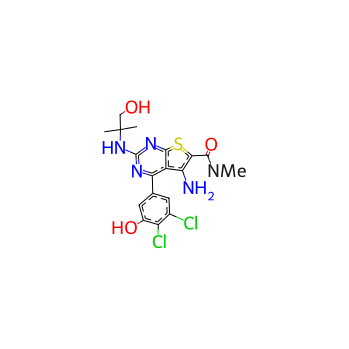 CNC(=O)c1sc2nc(NC(C)(C)CO)nc(-c3cc(O)c(Cl)c(Cl)c3)c2c1N